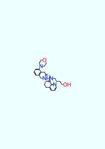 OCCCCN(C[C@H]1Cc2c(cccc2N2CCOCC2)CN1)[C@H]1CCCc2cccnc21